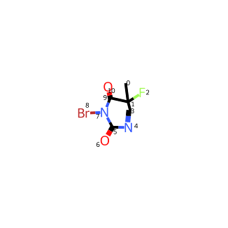 CC1(F)C=NC(=O)N(Br)C1=O